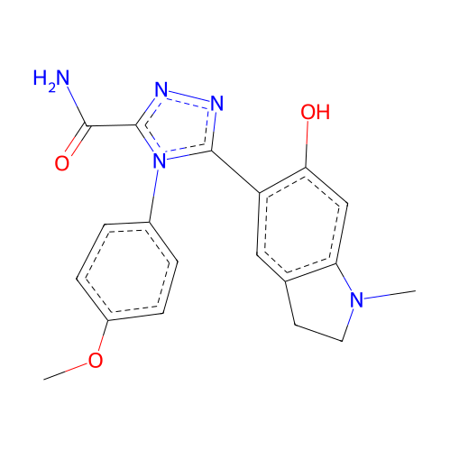 COc1ccc(-n2c(C(N)=O)nnc2-c2cc3c(cc2O)N(C)CC3)cc1